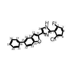 Fc1cccc(Cl)c1-c1nc(-c2cc3cc(-c4ccccc4)ccc3o2)c[nH]1